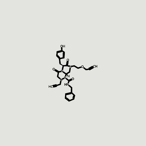 C#CCOCCN1C[C@H]2N(C(=O)CN(CC#C)N2C(=O)NCc2ccccc2)[C@@H](Cc2ccc(O)cc2)C1=O